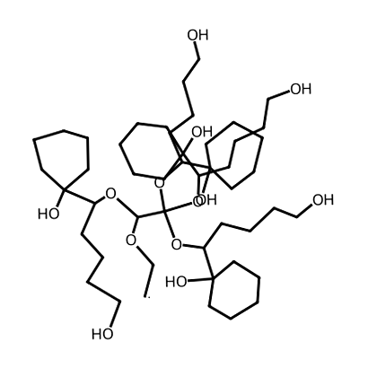 [CH2]COC(OC(CCCCO)C1(O)CCCCC1)C(OC(CCCCO)C1(O)CCCCC1)(OC(CCCCO)C1(O)CCCCC1)OC(CCCCO)C1(O)CCCCC1